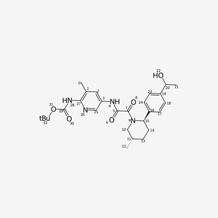 Cc1cc(NC(=O)C(=O)N2C[C@@H](C)CC[C@@H]2c2ccc(C(C)O)cc2)cnc1NC(=O)OC(C)(C)C